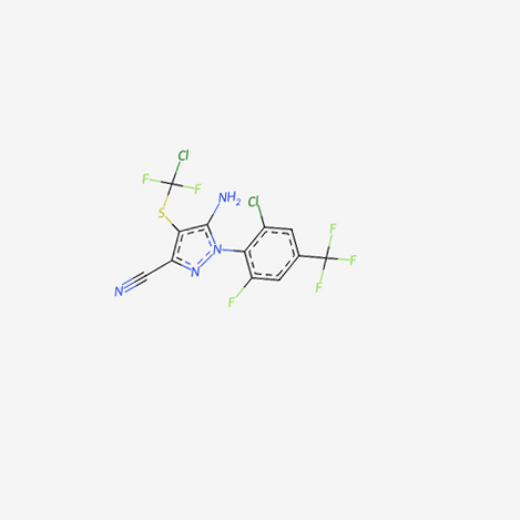 N#Cc1nn(-c2c(F)cc(C(F)(F)F)cc2Cl)c(N)c1SC(F)(F)Cl